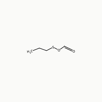 CCCSO[C]=O